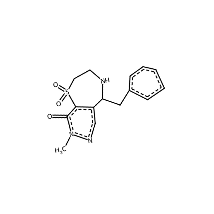 Cn1ncc2c(c1=O)S(=O)(=O)CCNC2Cc1ccccc1